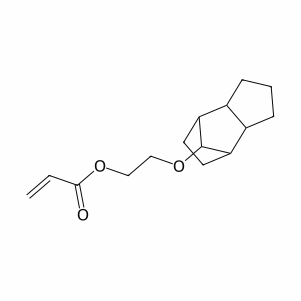 C=CC(=O)OCCOC1C2CCC1C1CCCC12